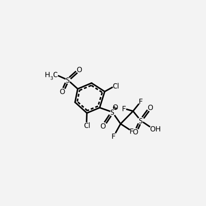 CS(=O)(=O)c1cc(Cl)c(S(=O)(=O)C(F)(F)C(F)(F)S(=O)(=O)O)c(Cl)c1